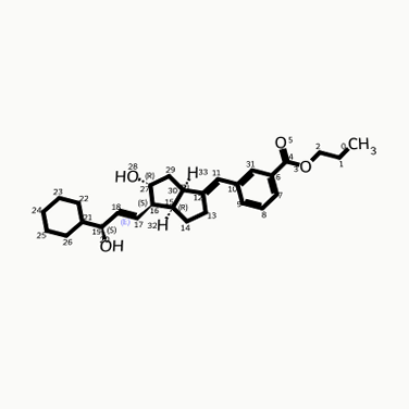 CCCOC(=O)c1cccc(C=C2CC[C@H]3[C@@H](/C=C/[C@@H](O)C4CCCCC4)[C@H](O)C[C@@H]23)c1